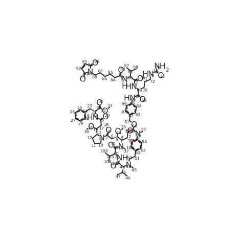 CC[C@H](C)[C@@H]([C@@H](CC(=O)N1CCC[C@H]1C(OC)[C@@H](C)C(=O)N[C@@H](Cc1ccccc1)C(=O)OC)OC)N(C)C(=O)[C@@H](NC(=O)[C@H](C(C)C)N(C)CCc1ccc(N(C)C(=O)OCc2ccc(NC(=O)[C@H](CCCNC(N)=O)NC(=O)[C@@H](NC(=O)CCCCCN3C(=O)C=CC3=O)C(C)C)cc2)cc1)C(C)C